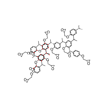 Cc1cc(C(C)c2cc(C(C)c3cc(C(C)c4cc(C(C)c5cc(C(C)C)ccc5OCC5CO5)cc(C(C)c5ccc(OCC6CO6)cc5)c4OCC4CO4)ccc3OCC3CO3)cc(C(C)c3ccc(OCC4CO4)c(C(C)c4cc(C(C)c5ccc(OCC6CO6)cc5)c(OCC5CO5)c(C(C)c5ccc(OCC6CO6)cc5)c4)c3)c2OCC2CO2)ccc1OCC1CO1